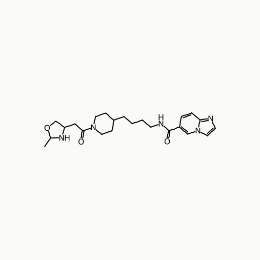 CC1NC(CC(=O)N2CCC(CCCCNC(=O)c3ccc4nccn4c3)CC2)CO1